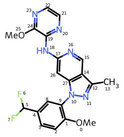 COc1ccc(C(F)F)cc1-n1nc(C)c2cnc(Nc3nccnc3OC)cc21